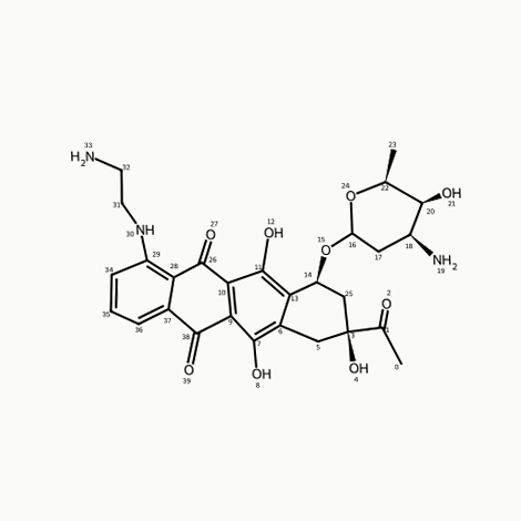 CC(=O)[C@]1(O)Cc2c(O)c3c(c(O)c2[C@@H](OC2C[C@H](N)[C@H](O)[C@H](C)O2)C1)C(=O)c1c(NCCN)cccc1C3=O